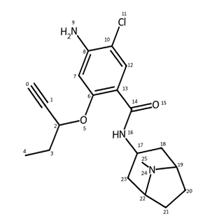 C#CC(CC)Oc1cc(N)c(Cl)cc1C(=O)NC1CC2CCC(C1)N2C